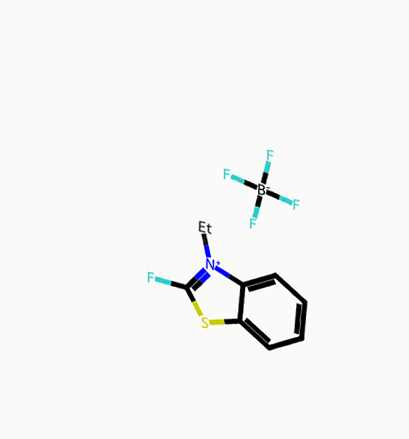 CC[n+]1c(F)sc2ccccc21.F[B-](F)(F)F